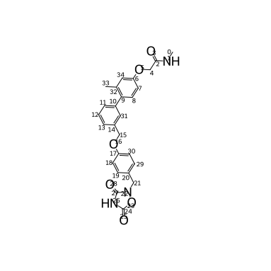 CNC(=O)COc1ccc(-c2cccc(COc3ccc(Cn4oc(=O)[nH]c4=O)cc3)c2)c(C)c1